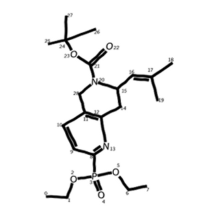 CCOP(=O)(OCC)c1ccc2c(n1)CC(C=C(C)C)N(C(=O)OC(C)(C)C)C2